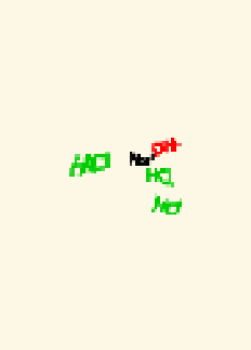 Cl.Cl.Cl.[Na+].[OH-]